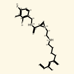 C=C/C(C)=C/C(=C)CCCCNCCN1C=C1C(=C)NCc1ccc(F)c(C)c1F